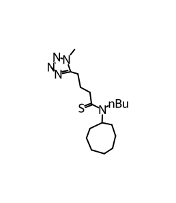 CCCCN(C(=S)CCCc1nnnn1C)C1CCCCCCC1